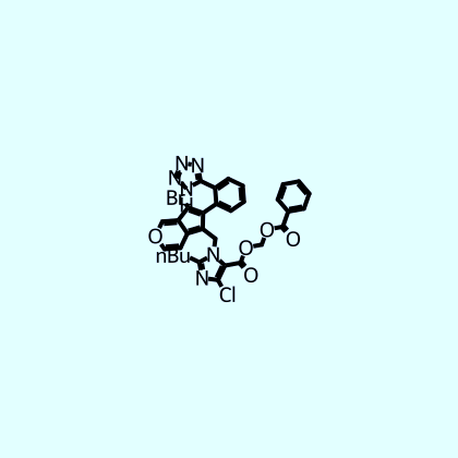 CCCCc1nc(Cl)c(C(=O)OCOC(=O)c2ccccc2)n1Cc1c2ccocc-2c(Br)c1-c1ccccc1-c1nnn[nH]1